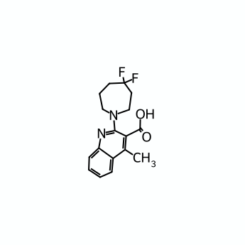 Cc1c(C(=O)O)c(N2CCCC(F)(F)CC2)nc2ccccc12